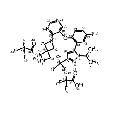 CC(C)n1nc(C(F)(F)F)cc1-c1cc(F)ccc1Oc1cncnc1N1CC2(CNC2)C1.O=C(O)C(F)(F)F.O=C(O)C(F)(F)F